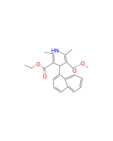 CCOC(=O)C1=C(C)NC(C)=C(C(=O)OC)C1c1cccc2ccccc12